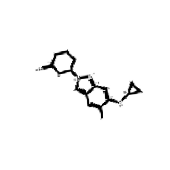 Cc1cc2cn(C3CCCC(=O)C3)nc2cc1OC1CC1